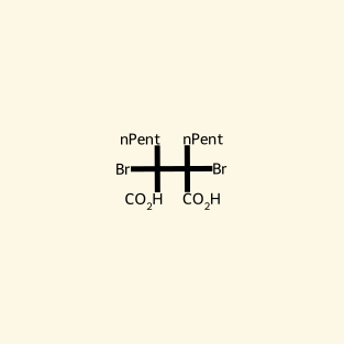 CCCCCC(Br)(C(=O)O)C(Br)(CCCCC)C(=O)O